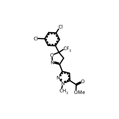 COC(=O)c1cc(C2=NOC(c3cc(Cl)cc(Cl)c3)(C(F)(F)F)C2)nn1C